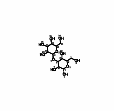 OCC1O[C@H](O)C(O)C(O[C@@H]2OC(CO)[C@H](O)C(O)C2O)[C@@H]1O